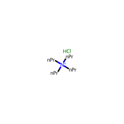 CCC[N+](CCC)(CCC)CCC.Cl